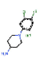 Cl.NC1CCN(c2ccc(Cl)c(Cl)c2)CC1